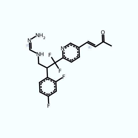 CC(=O)/C=C/c1ccc(C(F)(F)C(CN/C=N\N)c2ccc(F)cc2F)nc1